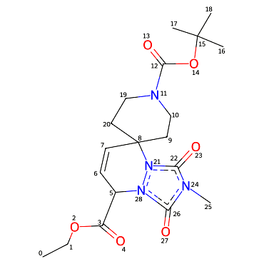 CCOC(=O)C1C=CC2(CCN(C(=O)OC(C)(C)C)CC2)n2c(=O)n(C)c(=O)n21